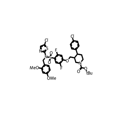 COc1ccc(CN(c2ncc(Cl)s2)S(=O)(=O)c2cc(F)c(OCC3CN(C(=O)OC(C)(C)C)CCC3c3ccc(Cl)cc3)cc2F)c(OC)c1